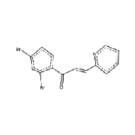 O=C(/C=C/c1ccccn1)c1ccc(Br)cc1Br